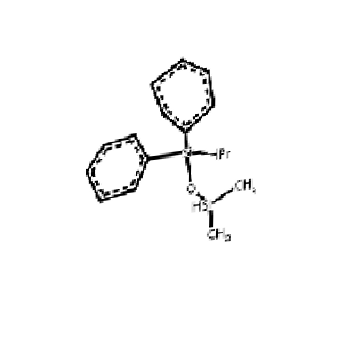 CC(C)[Si](O[SiH](C)C)(c1ccccc1)c1ccccc1